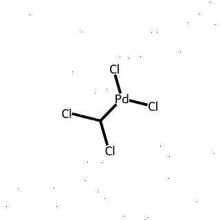 Cl[CH](Cl)[Pd]([Cl])[Cl]